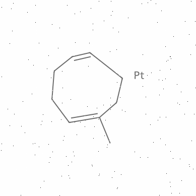 C/C1=C/CC/C=C\CC1.[Pt]